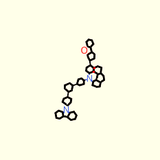 c1cc(-c2ccc(N(c3ccc(-c4ccc5c(c4)oc4ccccc45)cc3)c3cccc4ccc5ccccc5c34)cc2)cc(-c2ccc(-n3c4ccccc4c4ccccc43)cc2)c1